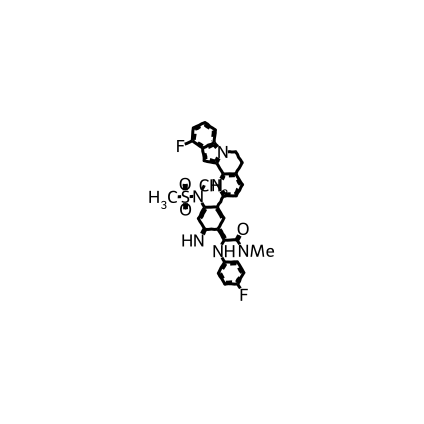 CNC(=O)/C(Nc1ccc(F)cc1)=C1\C=C(c2ccc3c(n2)-c2cc4c(F)cccc4n2CC3)C(N(C)S(C)(=O)=O)=CC1=N